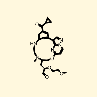 COCCO[C@@H](C=O)CC1COc2ccn3ncc(c3n2)-c2cc(cc(C(=O)C3CC3)c2)NCCN1C